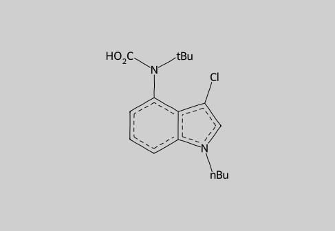 CCCCn1cc(Cl)c2c(N(C(=O)O)C(C)(C)C)cccc21